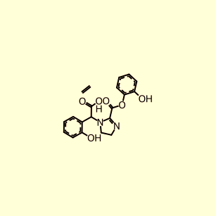 C=C.O=C(Oc1ccccc1O)C1=NCCN1C(C(=O)O)c1ccccc1O